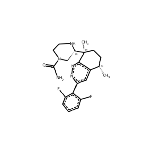 C[C@H]1CC[C@](C)([C@@H]2CN(C(N)=O)CCN2)c2nnc(-c3c(F)cccc3F)cc21